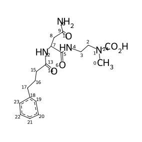 CN(CCNC(=O)C(CC(N)=O)NC(=O)CCCc1ccccc1)C(=O)O